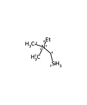 CC[N+](C)(C)C[SiH3]